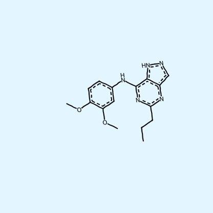 CCCc1nc(Nc2ccc(OC)c(OC)c2)c2[nH]ncc2n1